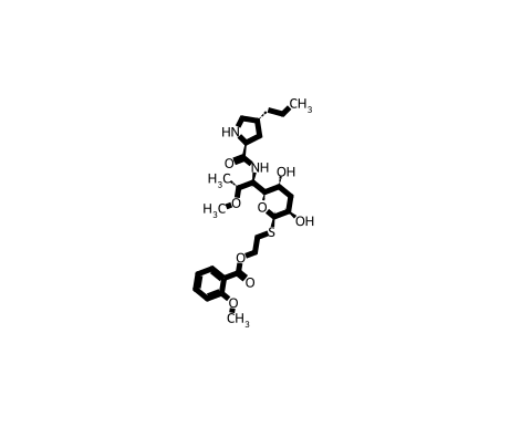 CCC[C@H]1CN[C@H](C(=O)N[C@@H]([C@H]2O[C@H](SCCOC(=O)c3ccccc3OC)[C@H](O)C[C@H]2O)[C@@H](C)OC)C1